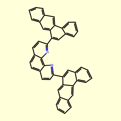 c1ccc2cc3c(cc2c1)c(-c1ccc2ccc4ccc(-c5cc6ccccc6c6cc7ccccc7cc56)nc4c2n1)cc1ccccc13